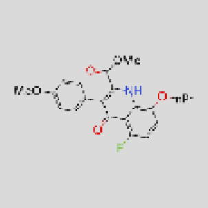 CCCOc1ccc(F)c2c(=O)c(-c3ccc(OC)cc3)c(C(=O)OC)[nH]c12